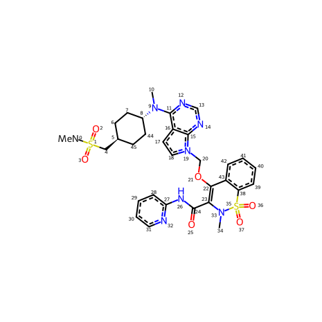 CNS(=O)(=O)C[C@H]1CC[C@H](N(C)c2ncnc3c2ccn3COC2=C(C(=O)Nc3ccccn3)N(C)S(=O)(=O)c3ccccc32)CC1